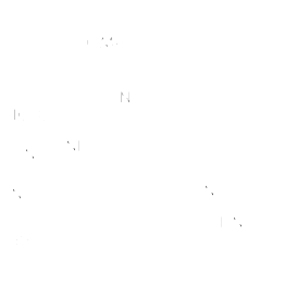 COCCN(CCCCc1ccc2c(n1)NCCC2)CCC(Nc1ncnc2c(Cl)cccc12)C(=O)O